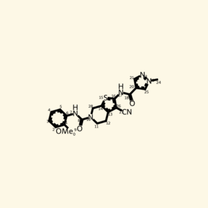 COc1ccccc1NC(=O)N1CCc2c(sc(NC(=O)c3cnn(C)c3)c2C#N)C1